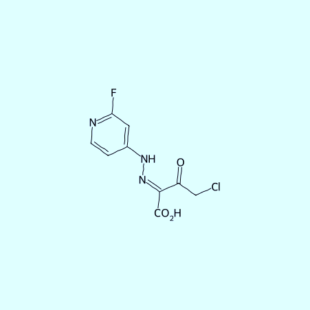 O=C(O)/C(=N/Nc1ccnc(F)c1)C(=O)CCl